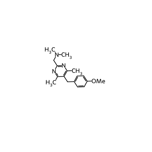 COc1ccc(Cc2c(C)nc(CN(C)C)nc2C)cc1